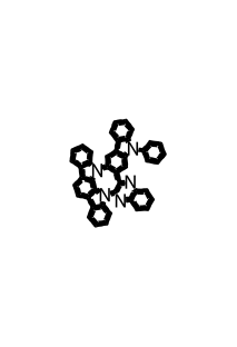 c1ccc(-n2c3ccccc3c3cc4c(cc32)c2nc3ccccc3nc2n2c3ccccc3c3ccc5c6ccccc6n4c5c32)cc1